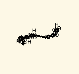 O=C1CCC(N2Cc3cc(C4CCN(CCCCCCCCC(=O)Nc5cnc(C6CCN(c7nc8c(c(NC9(CO)CCC9)n7)[S@+]([O-])CC8)CC6)nc5)CC4)ccc3C2=O)C(=O)N1